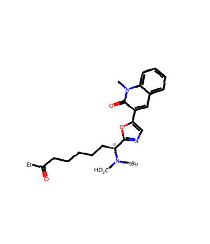 CCC(=O)CCCCC[C@@H](c1ncc(-c2cc3ccccc3n(C)c2=O)o1)N(C(=O)O)C(C)(C)C